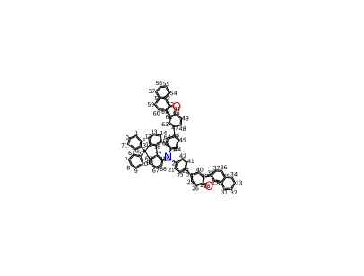 c1ccc(C2(c3ccccc3)c3ccccc3-c3c(N(c4ccc(-c5ccc6oc7c8ccccc8ccc7c6c5)cc4)c4ccc(-c5ccc6oc7c8ccccc8ccc7c6c5)cc4)cccc32)cc1